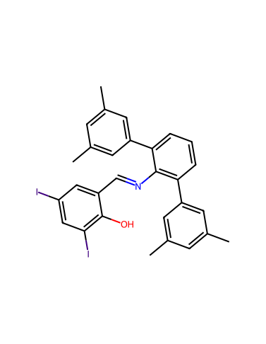 Cc1cc(C)cc(-c2cccc(-c3cc(C)cc(C)c3)c2/N=C/c2cc(I)cc(I)c2O)c1